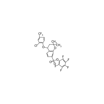 CC1(C)CC(Oc2ccc(C(F)(F)F)cc2Cl)c2ccc(S(=O)(=O)Oc3c(F)c(F)c(F)c(F)c3F)cc2O1